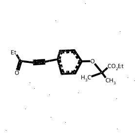 CCOC(=O)C(C)(C)Oc1ccc(C#CC(=O)CC)cc1